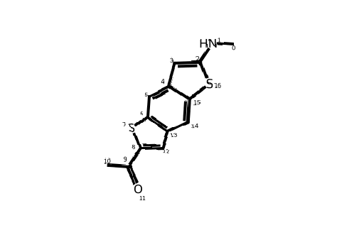 CNc1cc2cc3sc(C(C)=O)cc3cc2s1